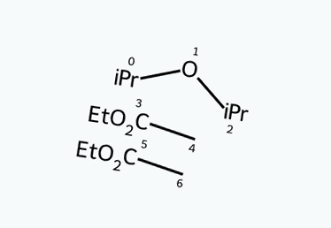 CC(C)OC(C)C.CCOC(C)=O.CCOC(C)=O